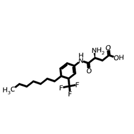 CCCCCCCC1C=CC(NC(=O)[C@@H](N)CC(=O)O)=CC1C(F)(F)F